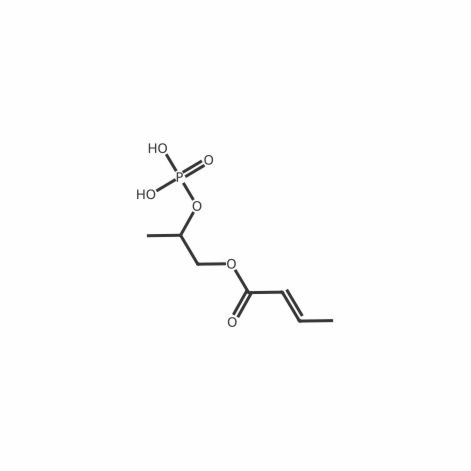 CC=CC(=O)OCC(C)OP(=O)(O)O